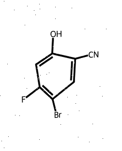 N#Cc1cc(Br)c(F)cc1O